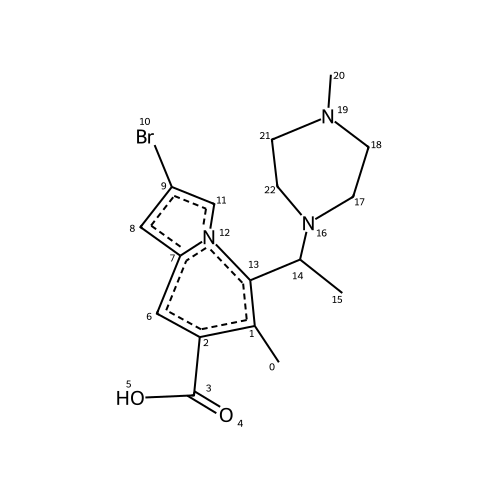 Cc1c(C(=O)O)cc2cc(Br)cn2c1C(C)N1CCN(C)CC1